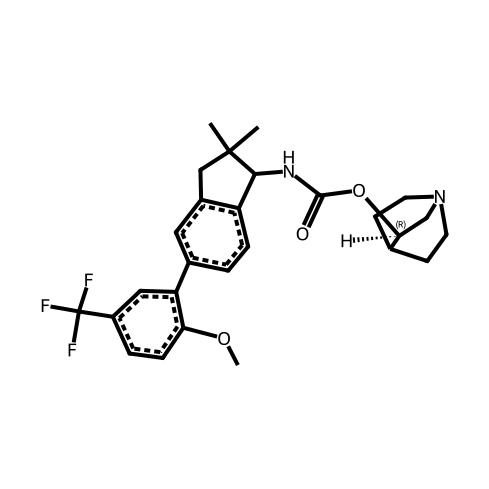 COc1ccc(C(F)(F)F)cc1-c1ccc2c(c1)CC(C)(C)C2NC(=O)O[C@H]1CN2CCC1CC2